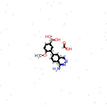 COc1ccc(B(O)O)cc1-c1ccc2c(N)nncc2c1.O=CO